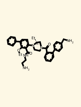 CCOc1c(-c2ccccc2)ccc(N2CCN(C(=O)c3ccccc3-c3ccc(CN)cc3)C[C@H]2CC)c1C(=O)NCCN